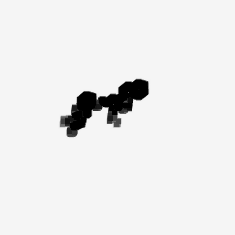 NC(=O)C(CCCOc1cccc2c1CN1CC(=O)NC1=N2)C1CCC2CCCCC2N1